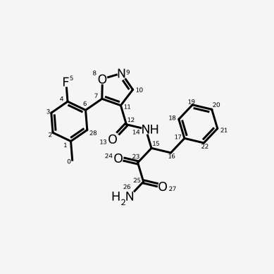 Cc1ccc(F)c(-c2oncc2C(=O)NC(Cc2ccccc2)C(=O)C(N)=O)c1